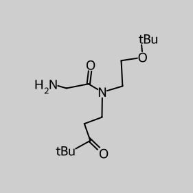 CC(C)(C)OCCN(CCC(=O)C(C)(C)C)C(=O)CN